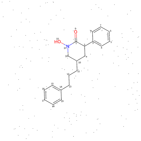 O=C1C(c2ccccc2)CC(CCCc2ccccc2)CN1O